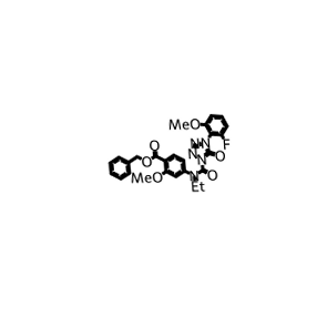 CCN(C(=O)n1nnn(-c2c(F)cccc2OC)c1=O)c1ccc(C(=O)OCc2ccccc2)c(OC)c1